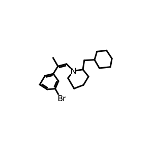 CC(=CN1CCCCC1CC1CCCCC1)c1cccc(Br)c1